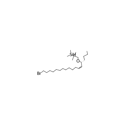 CCCC[C@H](/C=C\CCCCCCCCCCCBr)OCC(C)(C)[SiH](C)C